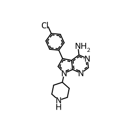 Nc1ncnc2c1c(-c1ccc(Cl)cc1)cn2C1CCNCC1